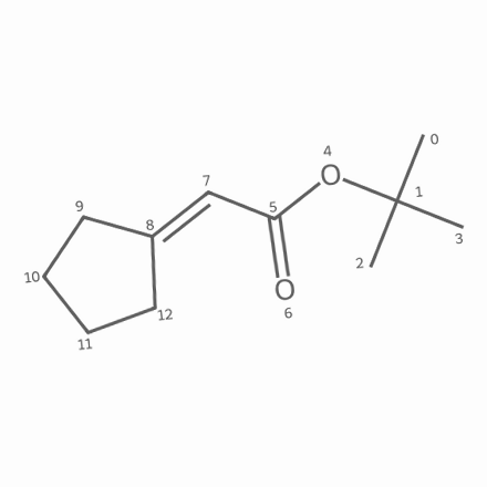 CC(C)(C)OC(=O)C=C1CCCC1